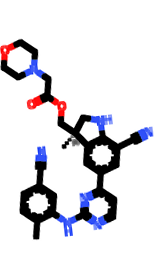 Cc1ccc(C#N)cc1Nc1nccc(-c2cc(C#N)c3c(c2)[C@@](C)(COC(=O)CN2CCOCC2)CN3)n1